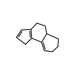 [CH]1C=CC2=C1C1=CCCCC1CC2